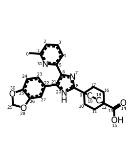 Cc1cccc(-c2nc(C34CCC(C(=O)O)(CC3)CC4)[nH]c2-c2ccc3c(c2)OCO3)n1